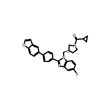 O=C(C1CC1)N1CC[C@@H](Cn2c(-c3ccc(-c4ccc5occc5c4)cc3)nc3cc(F)ccc32)C1